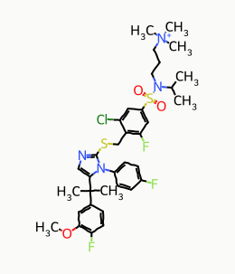 COc1cc(C(C)(C)c2cnc(SCc3c(F)cc(S(=O)(=O)N(CCC[N+](C)(C)C)C(C)C)cc3Cl)n2-c2ccc(F)cc2)ccc1F